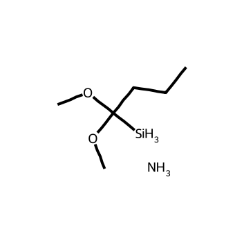 CCCC([SiH3])(OC)OC.N